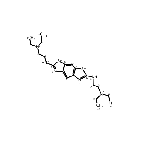 CCN(CC)CCNc1nc2cc3nc(NCCN(CC)CC)sc3cc2s1